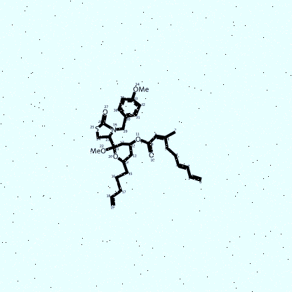 C=CC=CCCC(C)=CC(=O)OC1CC(CCCC=C)OC(OC)(C2CSC(=O)N2Cc2ccc(OC)cc2)C1